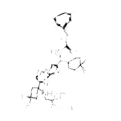 O=C(N[C@H](c1cn2ncc(C3(NCC(C(=O)O)C(F)(F)F)CC(F)(F)C3)nc2n1)C1CCC(F)(F)CC1)OCc1ccccc1